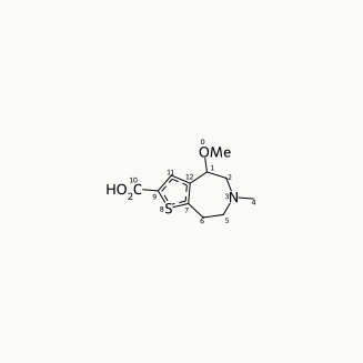 COC1CN(C)CCc2sc(C(=O)O)cc21